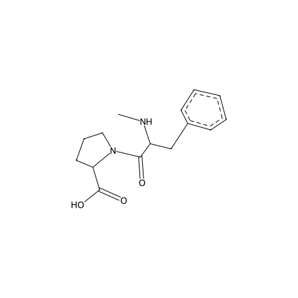 CNC(Cc1ccccc1)C(=O)N1CCCC1C(=O)O